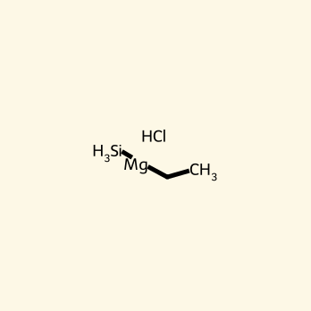 C[CH2][Mg][SiH3].Cl